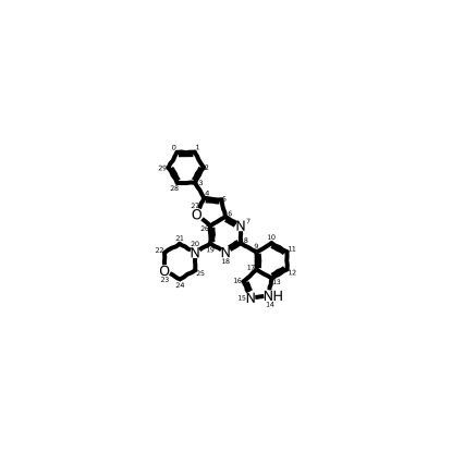 c1ccc(-c2cc3nc(-c4cccc5[nH]ncc45)nc(N4CCOCC4)c3o2)cc1